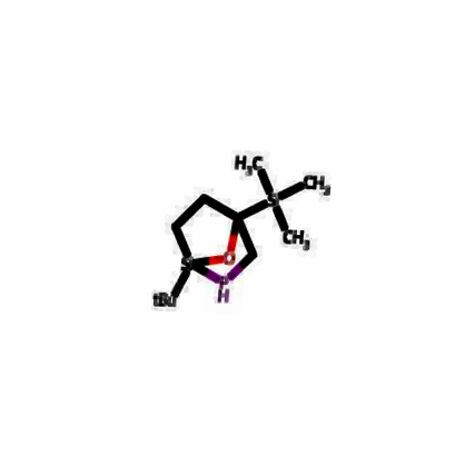 CC(C)(C)[Si]12CCC([Si](C)(C)C)(CP1)O2